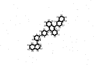 c1cc(-c2ccc(-c3c4ccccc4c(-c4ccc5ccccc5c4)c4ccccc34)cc2)nc(-c2nccc3ccccc23)c1